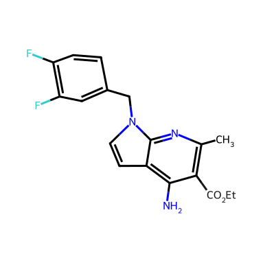 CCOC(=O)c1c(C)nc2c(ccn2Cc2ccc(F)c(F)c2)c1N